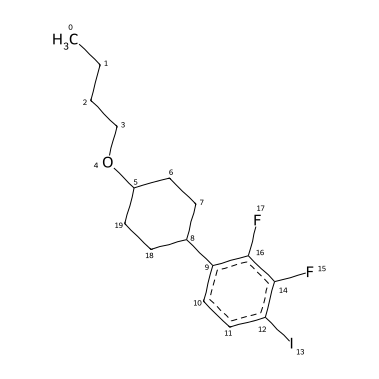 CCCCOC1CCC(c2ccc(I)c(F)c2F)CC1